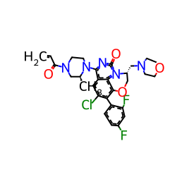 C=CC(=O)N1CCN(c2nc(=O)n3c4c(c(-c5ccc(F)cc5F)c(Cl)cc24)OC[C@H]3CN2CCOCC2)[C@@H](C)C1